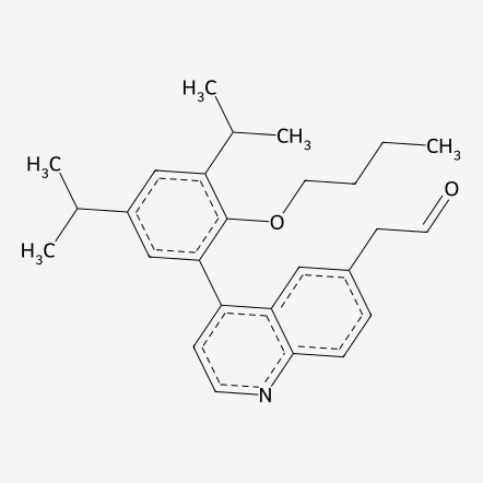 CCCCOc1c(-c2ccnc3ccc(CC=O)cc23)cc(C(C)C)cc1C(C)C